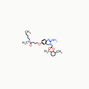 CCCCCN(C)C(=O)CCCOc1ccc2c(c1)CN(CC(=O)OC1C(C)CCCC1C)C(N)=N2